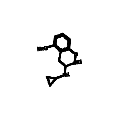 COc1cccc2c1CC(NC1CC1)CO2.Cl